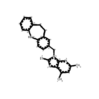 CCc1nc2c(C)cc(C)nc2n1Cc1ccc2c(c1)CCc1c[c]ccc1N2